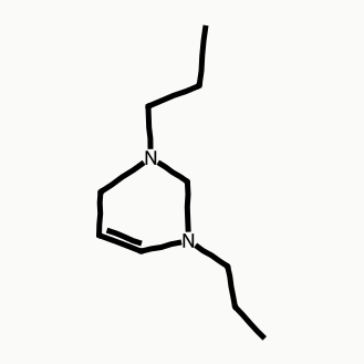 CCCN1C=CCN(CCC)C1